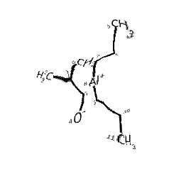 CC(C)C[O-].CC[CH2][Al+][CH2]CC